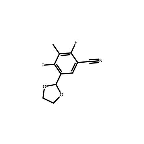 Cc1c(F)c(C#N)cc(C2OCCO2)c1F